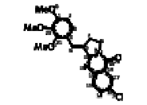 COc1ccc(C=C2CCn3c2nc2ccc(Cl)cc2c3=O)c(OC)c1OC